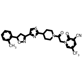 Cc1ccccc1C1CC(c2csc(C3CCN(C(=O)Cn4cc(C(F)(F)F)cc(C#N)c4=O)CC3)n2)=NO1